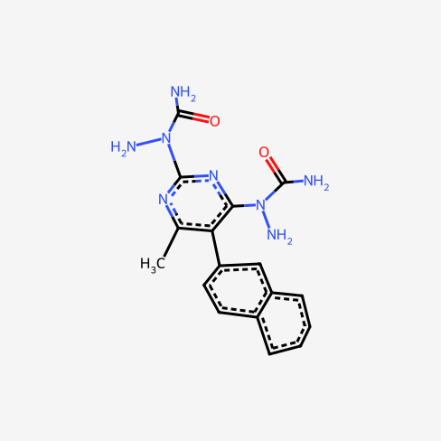 Cc1nc(N(N)C(N)=O)nc(N(N)C(N)=O)c1-c1ccc2ccccc2c1